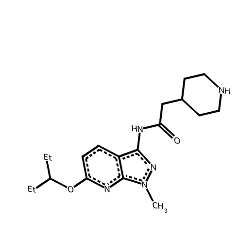 CCC(CC)Oc1ccc2c(NC(=O)CC3CCNCC3)nn(C)c2n1